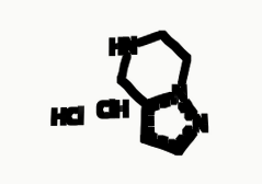 Cl.Cl.c1cc2n(n1)CCNC2